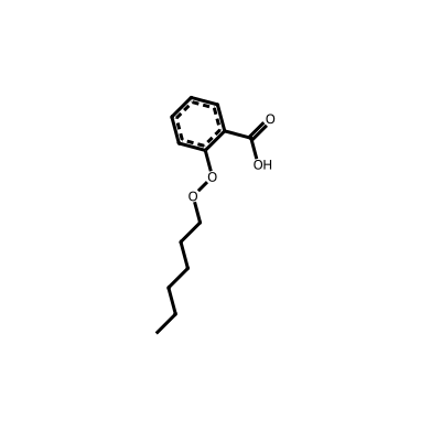 CCCCCCOOc1ccccc1C(=O)O